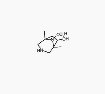 CC12CNCC(C)(C(O)C1)N2C(=O)O